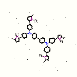 CCp1c(C)ccc1-c1ccc(N(c2ccc(-c3ccc(N(c4ccc(-c5ccc(C)p5CC)cc4)c4ccc(-c5ccc(C)p5CC)cc4)cc3)cc2)c2ccc(-c3ccc(C)p3CC)cc2)cc1